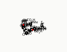 C#CC(C)Oc1cc(N2C(=O)C3=C(CCCC3)C2=O)c(F)cc1Cl.CCS(=O)(=O)c1cccnc1S(=O)(=O)NC(=O)Nc1nc(OC)cc(OC)n1.O=C(Nc1nc(OC(F)F)cc(OC(F)F)n1)NS(=O)(=O)c1ccccc1C(=O)O.O=C(O)CNCP(=O)(O)O